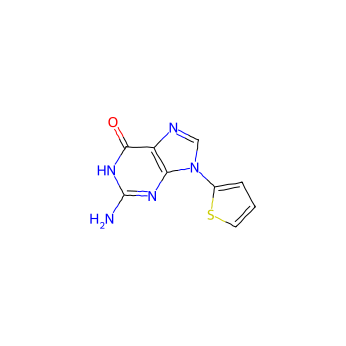 Nc1nc2c(ncn2-c2cccs2)c(=O)[nH]1